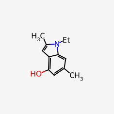 CCn1c(C)cc2c(O)cc(C)cc21